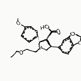 CCOCCN1CC(c2ccc3c(c2)OCO3)[C@H](C(=O)O)[C@H]1c1ccc(OC)cc1